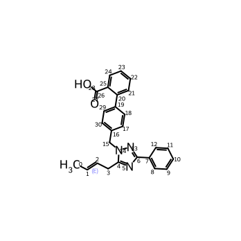 C/C=C/Cc1nc(-c2ccccc2)nn1Cc1ccc(-c2ccccc2C(=O)O)cc1